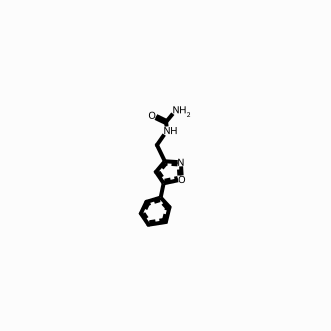 NC(=O)NCc1cc(-c2ccccc2)on1